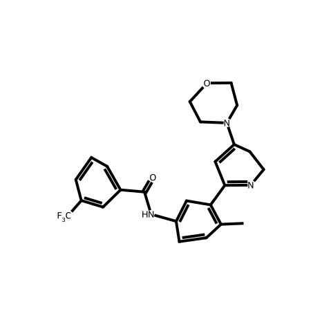 Cc1ccc(NC(=O)c2cccc(C(F)(F)F)c2)cc1C1=NCCC(N2CCOCC2)=C1